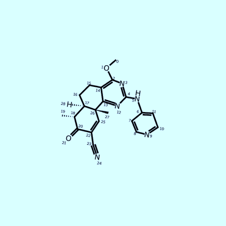 COc1nc(Nc2ccncc2)nc2c1CC[C@@H]1[C@@H](C)C(=O)C(C#N)=C[C@@]21C